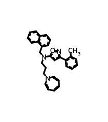 Cc1ccccc1-c1cc(N(CCCN2C=CC=CC=C2)Cc2cccc3ccccc23)on1